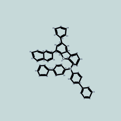 c1ccc(-c2ccc(N(c3ccc(-c4ccccc4)cc3)c3cccc4c3oc3c(-c5ccc6ccccc6c5)cc(-c5ccccc5)cc34)cc2)cc1